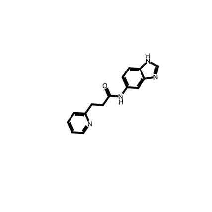 O=C(CCc1ccccn1)Nc1ccc2[nH]cnc2c1